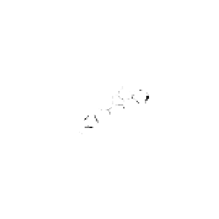 Nc1[nH]n(C(=S)Nc2ccc([N+](=O)[O-])cc2)c(=O)c1-c1ccccc1